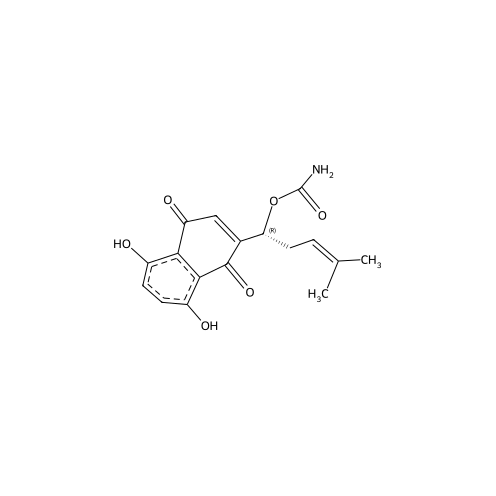 CC(C)=CC[C@@H](OC(N)=O)C1=CC(=O)c2c(O)ccc(O)c2C1=O